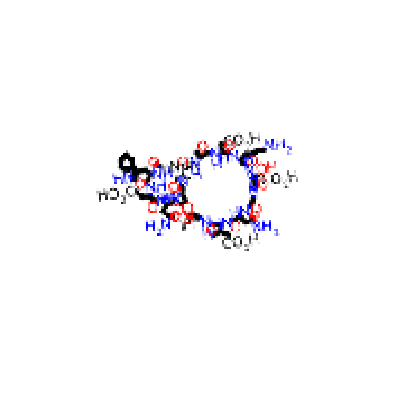 CCCCCCCCCC(=O)NC(Cc1c[nH]c2ccccc12)C(=O)NC(CCC(=O)O)C(=O)NC(CC(N)=O)C(=O)NC1C(=O)N(C)CC(=O)NC(C)C(=O)NC(CC(=O)O)C(=O)NC(CCCCN)C(=O)NC(C(O)C(=O)O)C(=O)NCC(=O)NC(CC(N)=O)C(=O)NC(C(C)CC(=O)O)C(=O)NC(C(C)C)C(=O)OC1C